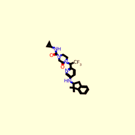 CC1(C)c2ccccc2CC1Nc1ccc(C(N2CCN(C(=O)NC3CC3)CC2=O)C(F)(F)F)nc1